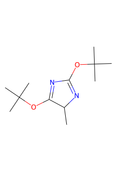 CC1N=C(OC(C)(C)C)N=C1OC(C)(C)C